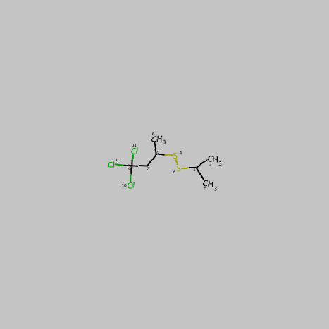 CC(C)SSC(C)CC(Cl)(Cl)Cl